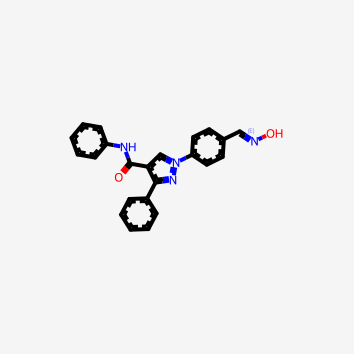 O=C(Nc1ccccc1)c1cn(-c2ccc(/C=N/O)cc2)nc1-c1ccccc1